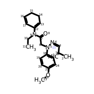 C=C(C)/C=N\N(CC(=O)N(CC)C1=CCCC=C1)c1ccc(OC)cc1